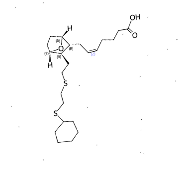 O=C(O)CCC/C=C\C[C@@H]1[C@@H](CCSCCSC2CCCCC2)[C@@H]2CC[C@H]1O2